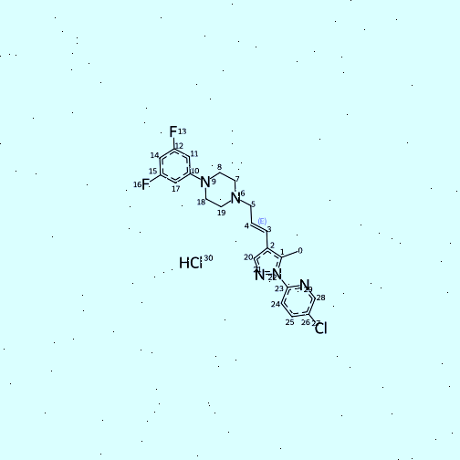 Cc1c(/C=C/CN2CCN(c3cc(F)cc(F)c3)CC2)cnn1-c1ccc(Cl)cn1.Cl